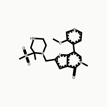 COc1cnccc1-c1cn(C)c(=O)c2cc(CN3CCNCC3(C)S(C)(=O)=O)sc12